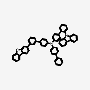 c1ccc(-c2ccc(N(c3ccc(-c4cccc(-c5ccc6c(c5)oc5ccccc56)c4)cc3)c3ccc(-c4ccccc4-n4c5ccccc5c5ccccc54)cc3)cc2)cc1